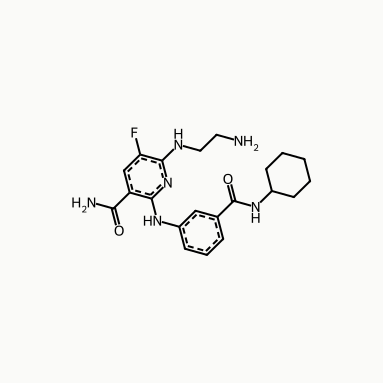 NCCNc1nc(Nc2cccc(C(=O)NC3CCCCC3)c2)c(C(N)=O)cc1F